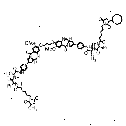 COc1cc2c(cc1OCCCOc1cc3c(cc1OC)C(=O)N1C=C(c4ccc(NC(=O)[C@H](C)NC(=O)[C@@H](NC(=O)CCCCCN5C(=O)CC(C6CCCCCCCC6)C5=O)C(C)C)cc4)C[C@H]1C=N3)N=C[C@@H]1CC(c3ccc(NC(=O)[C@H](C)NC(=O)[C@@H](NC(=O)CCCCCN4C(=O)CC(C)C4=O)C(C)C)cc3)=CN1C2=O